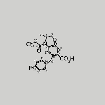 CC1COc2nc(C(=O)O)c(Cc3ccc(F)cc3)cc2N1C(=O)CCl